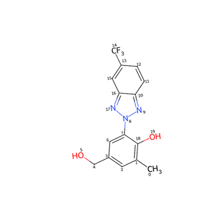 Cc1cc(CO)cc(-n2nc3ccc(C(F)(F)F)cc3n2)c1O